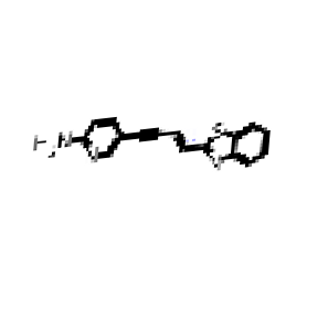 Nc1ccc(C#C/C=C/c2nc3ccccc3s2)cn1